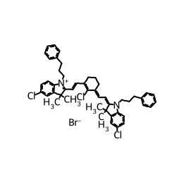 CC1(C)C(/C=C/C2=C(Cl)C(=C/C=C3/N(CCCc4ccccc4)c4ccc(Cl)cc4C3(C)C)/CCC2)=[N+](CCCc2ccccc2)c2ccc(Cl)cc21.[Br-]